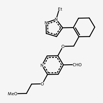 CCn1nccc1C1=C(COc2cnc(OCCOC)cc2C=O)CCCC1